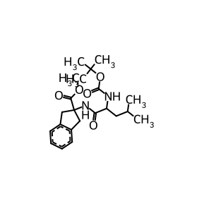 COC(=O)C1(NC(=O)C(CC(C)C)NC(=O)OC(C)(C)C)Cc2ccccc2C1